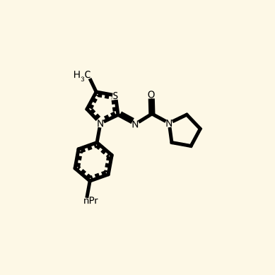 CCCc1ccc(-n2cc(C)sc2=NC(=O)N2CCCC2)cc1